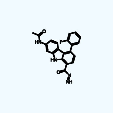 CC(=O)Nc1ccc2c(c1)[nH]c1c(C(=O)N=N)ccc(-c3ccccc3F)c12